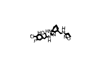 OCC(Cc1ccc(Cl)c(F)c1)Nc1nc2c(CNc3ccon3)cccc2[nH]1